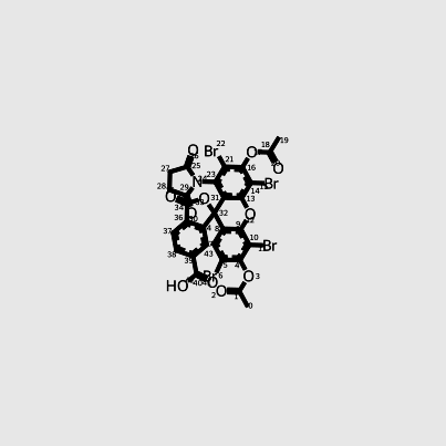 CC(=O)Oc1c(Br)cc2c(c1Br)Oc1c(Br)c(OC(C)=O)c(Br)c(N3C(=O)CCC3=O)c1C21OC(=O)c2ccc(C(=O)O)cc21